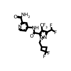 NC(=O)c1cc(NC(=O)c2c(C(F)(F)F)c(C(F)F)nn2CC2CC(F)(F)C2)ccn1